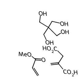 C=C(CC(=O)O)C(=O)O.C=CC(=O)OC.OCC(CO)(CO)CO